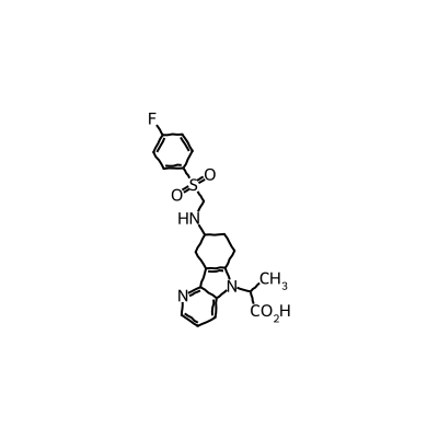 CC(C(=O)O)n1c2c(c3ncccc31)CC(NCS(=O)(=O)c1ccc(F)cc1)CC2